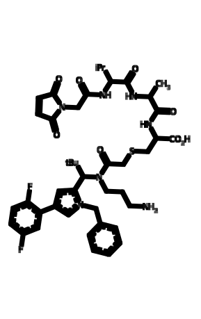 CC(NC(=O)C(NC(=O)CN1C(=O)C=CC1=O)C(C)C)C(=O)NC(CSCC(=O)N(CCCN)C(c1cc(-c2cc(F)ccc2F)cn1Cc1ccccc1)C(C)(C)C)C(=O)O